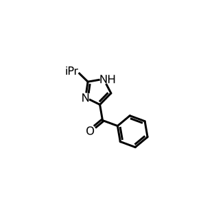 CC(C)c1nc(C(=O)c2ccccc2)c[nH]1